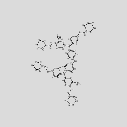 Cc1cc(N(c2ccc(COC3CCCCO3)cc2)c2ccc(Cc3ccc(N(c4ccc(COC5CCCCO5)cc4)c4ccc(COC5CCCCO5)c(C)c4)cc3)cc2)ccc1COC1CCCCO1